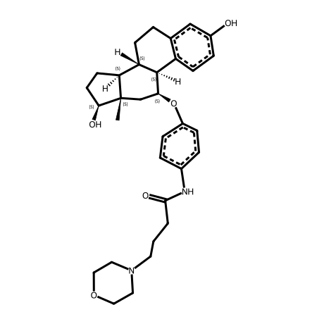 C[C@]12C[C@H](Oc3ccc(NC(=O)CCCN4CCOCC4)cc3)[C@@H]3c4ccc(O)cc4CC[C@H]3[C@@H]1CC[C@@H]2O